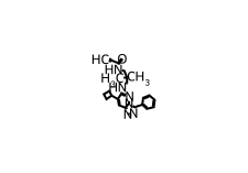 C#CC(=O)NCC(C)(C)CNc1nn2c(-c3ccccc3)nnc2cc1C1CCC1